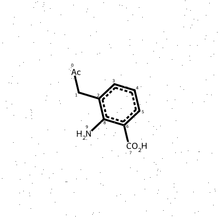 CC(=O)Cc1cccc(C(=O)O)c1N